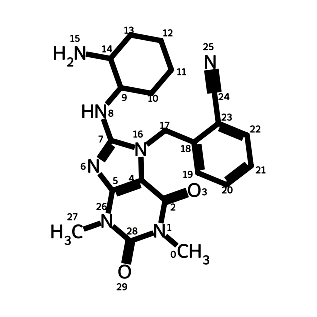 Cn1c(=O)c2c(nc(NC3CCCCC3N)n2Cc2ccccc2C#N)n(C)c1=O